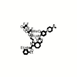 CCc1cccc(CC)c1NC(=O)c1nn(CCN)c2c1CCCc1cnc(Nc3ccc(N4CCC(N(C)C)CC4)cc3OC)nc1-2.O=C(O)C(F)(F)F.O=C(O)C(F)(F)F